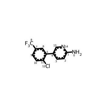 Nc1ccc(-c2cc(C(F)(F)F)ccc2Cl)cn1